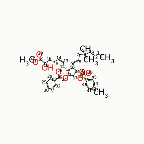 CCCCC(C)(C)C/C=C/[C@@H]1[C@@H](C/C=C\CCC(O)C(=O)OC)[C@@H](OC(=O)c2ccccc2)C[C@@H]1OS(=O)(=O)c1ccc(C)cc1